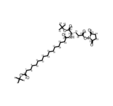 CC(C)(C)OC(=O)CCCCCCCCCCCCCCC(=O)N[C@@H](CCC(=O)ON1C(=O)CCC1=O)C(=O)OC(C)(C)C